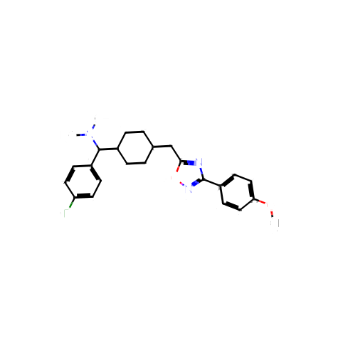 CN(C)C(c1ccc(F)cc1)C1CCC(Cc2nc(-c3ccc(OC(F)(F)F)cc3)no2)CC1